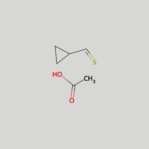 CC(=O)O.S=CC1CC1